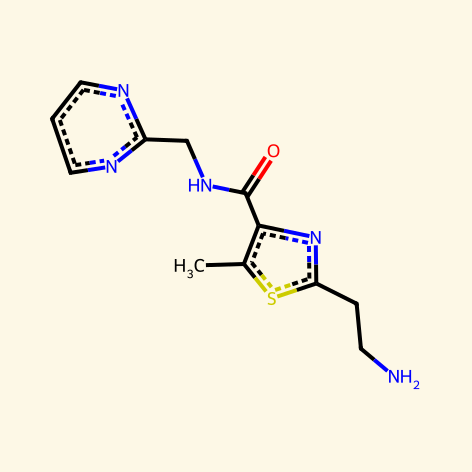 Cc1sc(CCN)nc1C(=O)NCc1ncccn1